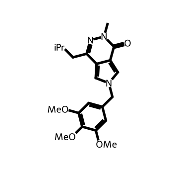 COc1cc(Cn2cc3c(CC(C)C)nn(C)c(=O)c3c2)cc(OC)c1OC